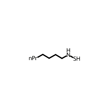 CCCCCCCNS